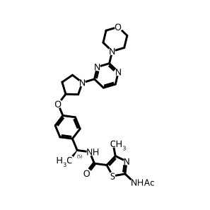 CC(=O)Nc1nc(C)c(C(=O)N[C@@H](C)c2ccc(OC3CCN(c4ccnc(N5CCOCC5)n4)C3)cc2)s1